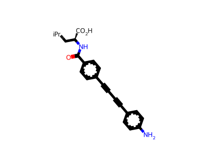 CC(C)C[C@H](NC(=O)c1ccc(C#CC#Cc2ccc(N)cc2)cc1)C(=O)O